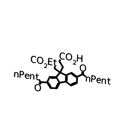 CCCCCC(=O)c1ccc2c(c1)C(CCC(=O)O)(CC(=O)OCC)c1cc(C(=O)CCCCC)ccc1-2